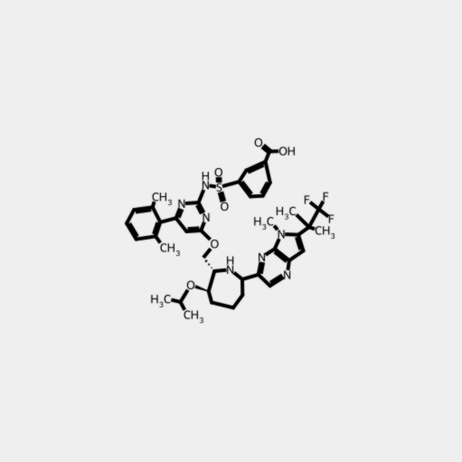 Cc1cccc(C)c1-c1cc(OC[C@@H]2NC(c3cnc4cc(C(C)(C)C(F)(F)F)n(C)c4n3)CCC[C@H]2OC(C)C)nc(NS(=O)(=O)c2cccc(C(=O)O)c2)n1